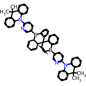 CC1(C)c2ccccc2N(c2ccc(B3c4ccccc4C4(c5ccccc5B(c5ccc(N6c7ccccc7C(C)(C)c7ccccc76)nc5)C5C=CC=CC54)C4C=CC=CC34)cn2)c2ccccc21